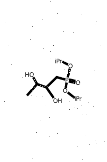 CC(C)OP(=O)(CC(O)C(C)O)OC(C)C